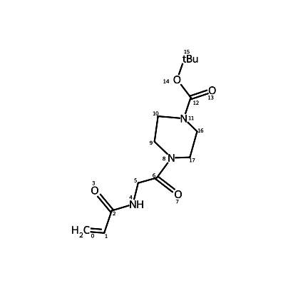 C=CC(=O)NCC(=O)N1CCN(C(=O)OC(C)(C)C)CC1